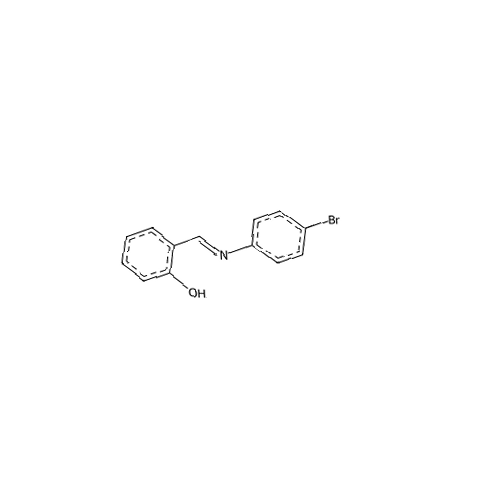 Oc1ccccc1/C=N/c1ccc(Br)cc1